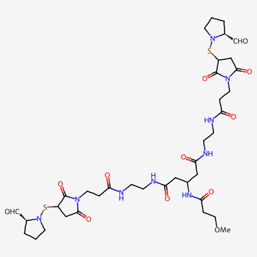 COCCC(=O)NC(CC(=O)NCCNC(=O)CCN1C(=O)CC(SN2CCC[C@H]2C=O)C1=O)CC(=O)NCCNC(=O)CCN1C(=O)CC(SN2CCC[C@H]2C=O)C1=O